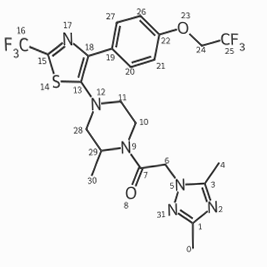 Cc1nc(C)n(CC(=O)N2CCN(c3sc(C(F)(F)F)nc3-c3ccc(OCC(F)(F)F)cc3)CC2C)n1